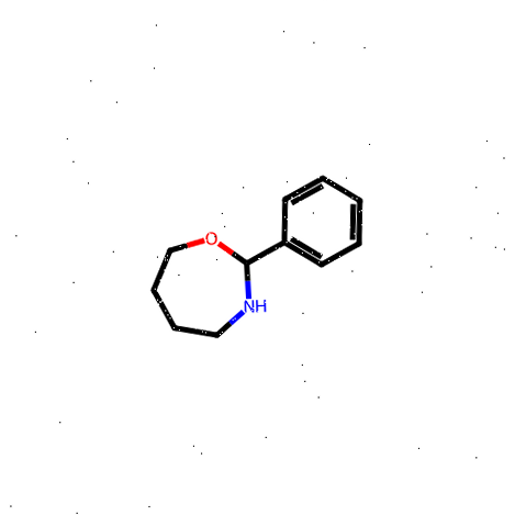 c1ccc(C2NCCCCO2)cc1